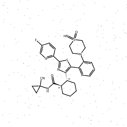 N#CC1(NC(=O)[C@@H]2CCCC[C@H]2c2nc(-c3ccc(F)cn3)sc2-c2ccccc2N2CCS(=N)(=O)CC2)CC1